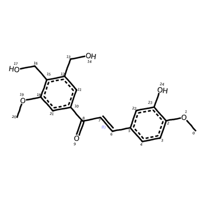 COc1ccc(/C=C/C(=O)c2cc(CO)c(CO)c(OC)c2)cc1O